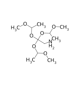 COC(C)OC(CN)(OC(C)OC)OC(C)OC